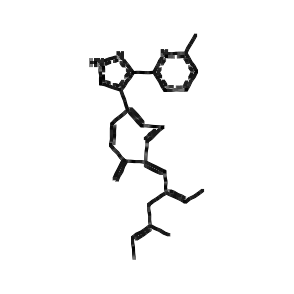 C=C1\C=C/C(c2c[nH]nc2-c2cccc(C)n2)=C/C=C/C1=C/C(=C\C)C/C(C)=C/C